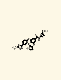 Cc1nnc(-c2ccc(Oc3cc(O[C@@H]4CCNC4=O)cc(C(=O)Nc4nc(C(=O)O)cs4)c3)cc2)o1